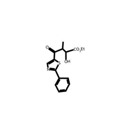 CCOC(=O)C(O)C(C)C(=O)c1cnc(-c2ccccc2)s1